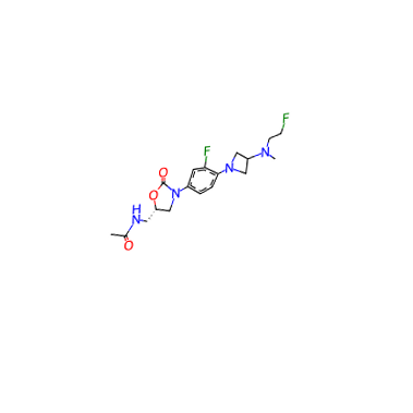 CC(=O)NC[C@H]1CN(c2ccc(N3CC(N(C)CCF)C3)c(F)c2)C(=O)O1